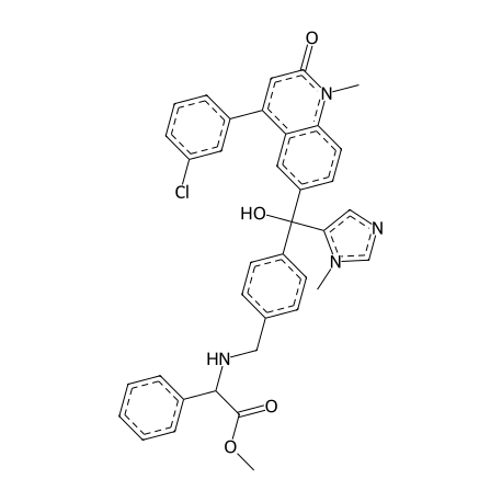 COC(=O)C(NCc1ccc(C(O)(c2ccc3c(c2)c(-c2cccc(Cl)c2)cc(=O)n3C)c2cncn2C)cc1)c1ccccc1